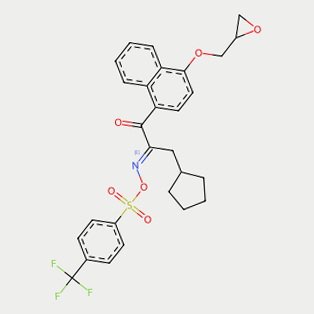 O=C(/C(CC1CCCC1)=N/OS(=O)(=O)c1ccc(C(F)(F)F)cc1)c1ccc(OCC2CO2)c2ccccc12